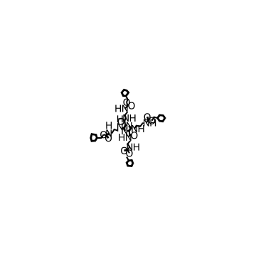 O=C(NCCCNc1nc(C(=O)NCCNC(=O)OCc2ccccc2)c(NCCCNC(=O)OCc2ccccc2)nc1C(=O)NCCNC(=O)OCc1ccccc1)OCc1ccccc1